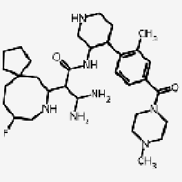 Cc1cc(C(=O)N2CCN(C)CC2)ccc1C1CCNCC1NC(=O)C(C(N)N)C1CC2(CCCC2)CCC(F)CN1